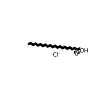 CCCCCCCCCCCCCCCCCCCCC(CO)[N+](C)(C)C.[Cl-]